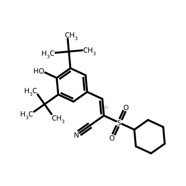 CC(C)(C)c1cc(/C=C(\C#N)S(=O)(=O)C2CCCCC2)cc(C(C)(C)C)c1O